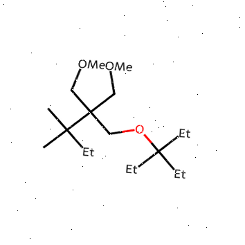 CCC(CC)(CC)OCC(COC)(COC)C(C)(C)CC